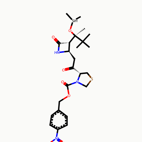 C[SiH](C)O[C@](C)([C@H]1C(=O)N[C@@H]1CC(=O)[C@@H]1CSCN1C(=O)OCc1ccc([N+](=O)[O-])cc1)C(C)(C)C